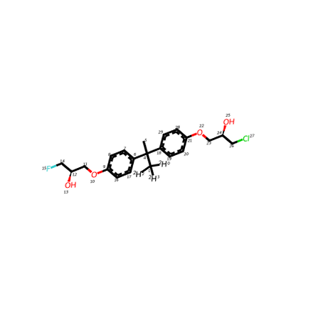 [2H]C([2H])([2H])C(C)(c1ccc(OC[C@@H](O)CF)cc1)c1ccc(OC[C@@H](O)CCl)cc1